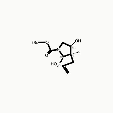 C=CC[C@]1(C)[C@@H](O)CN(C(=O)OC(C)(C)C)[C@@H]1C(=O)O